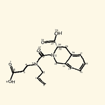 C=CCN(CCC(=O)O)C(=O)N1Cc2ccccc2C[C@H]1C(=O)O